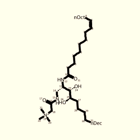 CCCCCCCC/C=C\CCCCCCCC(=O)N[C@@H](CNC(=O)C[N+](C)(C)C)[C@H](O)[C@H](O)CCCCCCCCCCCCCC